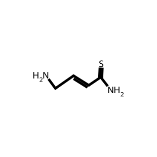 NCC=CC(N)=S